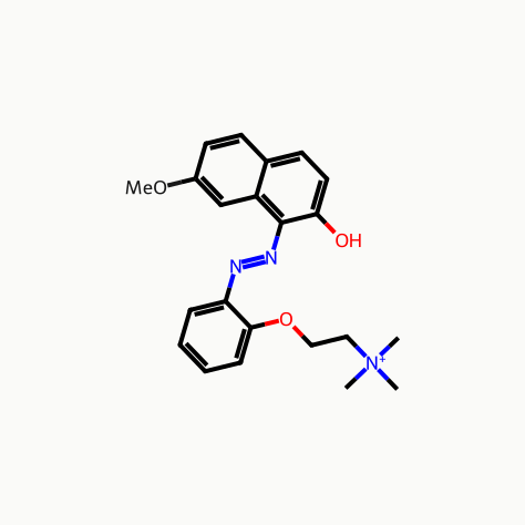 COc1ccc2ccc(O)c(N=Nc3ccccc3OCC[N+](C)(C)C)c2c1